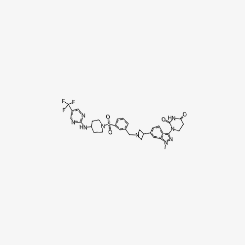 Cn1nc(N2CCC(=O)NC2=O)c2ccc(C3CN(Cc4cccc(S(=O)(=O)N5CCC(Nc6ncc(C(F)(F)F)cn6)CC5)c4)C3)cc21